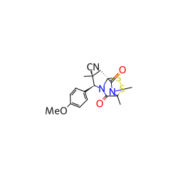 COc1ccc([C@@H]2N3C(=O)C4(C)SS[C@@]3(C[C@]2(C)C#N)C(=O)N4C)cc1